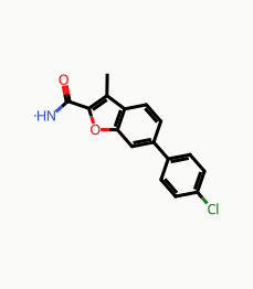 Cc1c(C([NH])=O)oc2cc(-c3ccc(Cl)cc3)ccc12